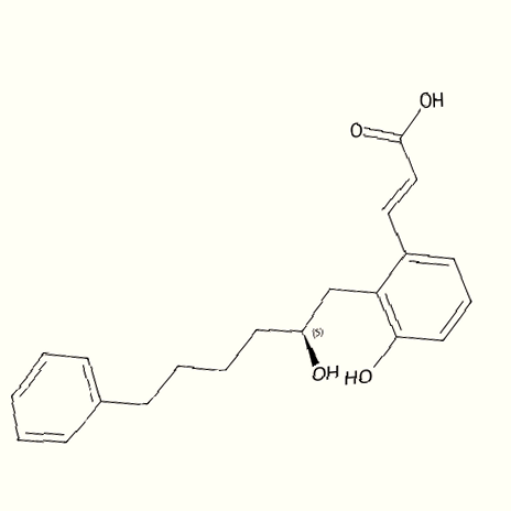 O=C(O)C=Cc1cccc(O)c1C[C@@H](O)CCCCc1ccccc1